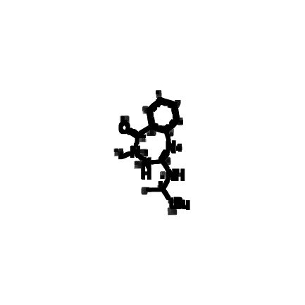 CC(NC1=Nc2ccccc2C(=O)N(C)N1)C(C)(C)C